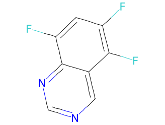 Fc1cc(F)c2ncncc2c1F